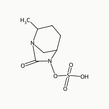 CC1CCC2CN1C(=O)N2OS(=O)(=O)O